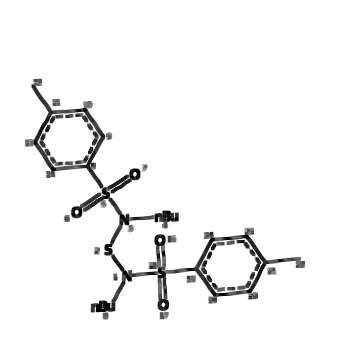 CCCCN(SN(CCCC)S(=O)(=O)c1ccc(C)cc1)S(=O)(=O)c1ccc(C)cc1